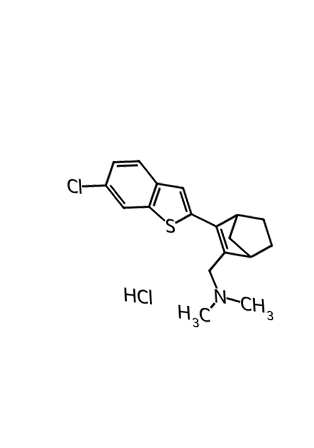 CN(C)CC1=C(c2cc3ccc(Cl)cc3s2)C2CCC1C2.Cl